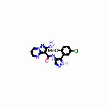 COc1ccc(Cl)cc1-c1[nH]ncc1NC(=O)c1c(N)nn2cccnc12